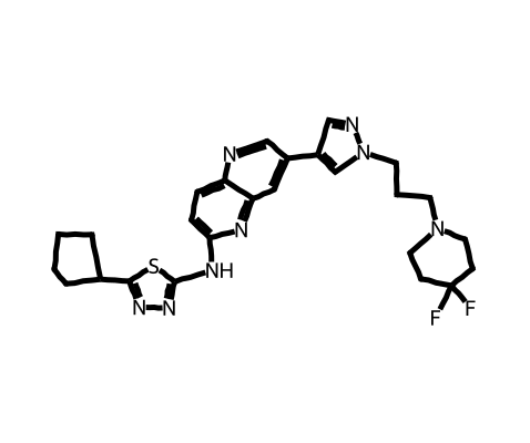 FC1(F)CCN(CCCn2cc(-c3cnc4ccc(Nc5nnc(C6CCCC6)s5)nc4c3)cn2)CC1